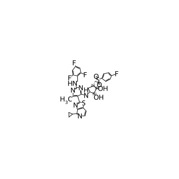 Cc1nc(NCc2c(F)cc(F)cc2F)nc(NC2C[C@H](CS(=O)(=O)c3ccc(F)cc3)[C@@H](O)[C@H]2O)c1-c1nc2c(C3CC3)nccc2s1